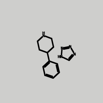 c1ccc(C2CCNCC2)cc1.c1nnn[nH]1